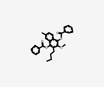 CCCCc1c(OC)c(OC(=O)c2ccccc2)c2ccc(C)cc2c1OC(=O)c1ccccc1